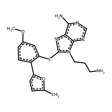 COc1ccc(-c2ccc(C)o2)c(Sc2nc3c(N)ncnc3n2CCCN)c1